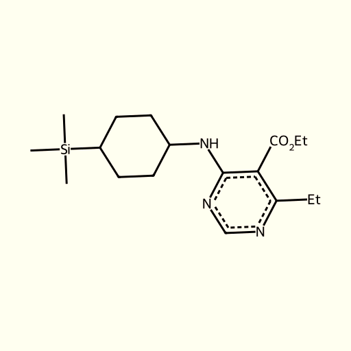 CCOC(=O)c1c(CC)ncnc1NC1CCC([Si](C)(C)C)CC1